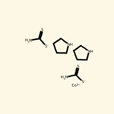 C1CCNC1.C1CCNC1.NC(=S)[S-].NC(=S)[S-].[Co+2]